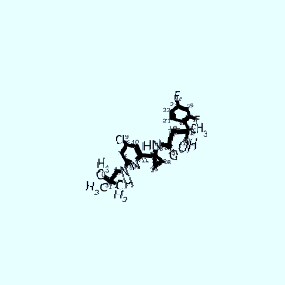 CC(C)(C)CNc1cc(Cl)cc(C2(NC(=O)C[C@](C)(O)c3ccc(F)cc3F)CC2)n1